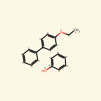 CCOc1ccc(-c2ccccc2)cc1.Oc1ccccc1